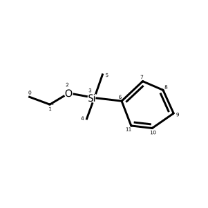 C[CH]O[Si](C)(C)c1ccccc1